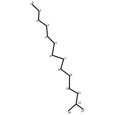 [CH2]CCCCCCCCCCCC([CH2])C